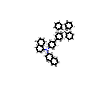 c1ccc([Si](c2ccccc2)(c2ccccc2)c2ccc(-c3ccc(N(c4ccc5ccccc5c4)c4cccc5ccccc45)cc3)cc2)cc1